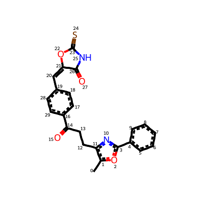 Cc1oc(-c2ccccc2)nc1CCC(=O)c1ccc(C=C2OC(=S)NC2=O)cc1